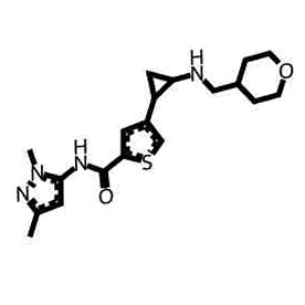 Cc1cc(NC(=O)c2cc(C3CC3NCC3CCOCC3)cs2)n(C)n1